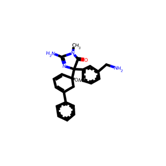 COC1(C2(c3cccc(CN)c3)N=C(N)N(C)C2=O)C=CC=C(c2ccccc2)C1